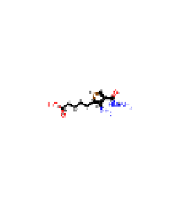 NNC(=O)c1csc(CCCCC(=O)O)c1N